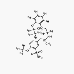 [2H]c1c([2H])c([2H])c(OC([2H])(C)C([2H])([2H])[2H])c(OCC([2H])([2H])N[C@H](C)Cc2ccc(OC([2H])([2H])[2H])c(S(N)(=O)=O)c2)c1[2H]